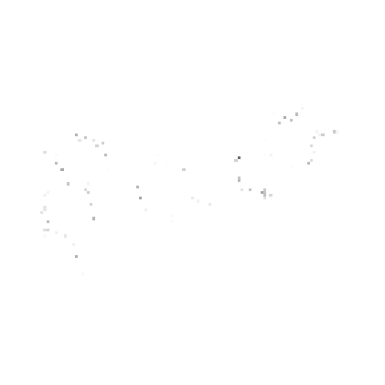 C[C@H]([C@H]1CC[C@@H](c2ccnc3ccc(F)cc32)CC1)n1[nH]c2cc(Cl)ccc2c1=O